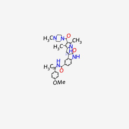 COc1ccc([C@H](C)NC(=O)c2ccc3c(c2)/C(=C/c2[nH]c(C)c(C(=O)N4CCN(C)CC4)c2C)C(=O)N3)cc1